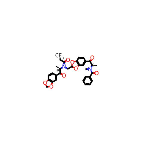 C[C@H](C(=O)c1ccc2c(c1)OC(CN(C(=O)CC(F)(F)F)[C@H](C)C(=O)c1ccc3c(c1)OCO3)O2)N(C)C(=O)c1ccccc1